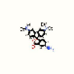 CCN(CC)c1ccc(C2(c3ccc(N(CC)CC)cc3)OC(=O)c3cc(N)ccc32)cc1